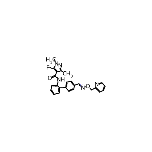 Cc1nn(C)c(F)c1C(=O)Nc1ccccc1-c1ccc(/C=N/OCc2ccccn2)cc1